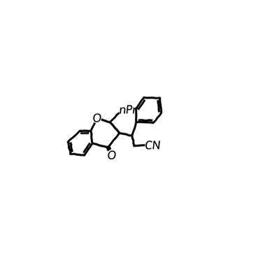 CCCC1Oc2ccccc2C(=O)C1C(CC#N)c1ccccc1